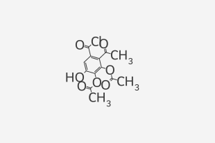 CC(=O)Oc1c(O)cc(C(=O)Cl)c(C(C)=O)c1OC(C)=O